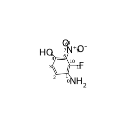 Nc1ccc(O)c([N+](=O)[O-])c1F